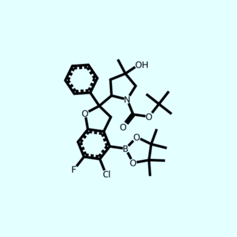 CC1(O)CC(C2(c3ccccc3)Cc3c(cc(F)c(Cl)c3B3OC(C)(C)C(C)(C)O3)O2)N(C(=O)OC(C)(C)C)C1